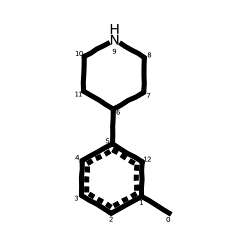 Cc1cc[c]c(C2CCNCC2)c1